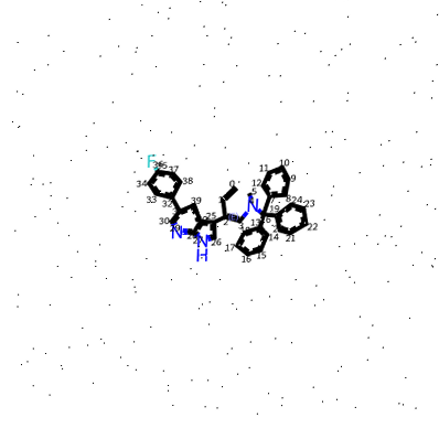 C=C/C(=C\N(C)C(c1ccccc1)(c1ccccc1)c1ccccc1)c1c[nH]c2ncc(-c3ccc(F)cc3)cc12